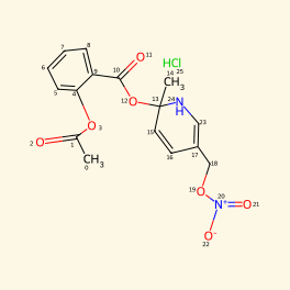 CC(=O)Oc1ccccc1C(=O)OC1(C)C=CC(CO[N+](=O)[O-])=CN1.Cl